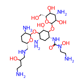 NCCC(O)CNC[C@@H]1CC[C@@H](N)[C@@H](OC2[C@@H](N)C[C@@H](NC(=O)N(O)CCN)[C@H](O[C@H]3O[C@H](CO)[C@@H](O)[C@H](N)[C@H]3O)[C@H]2O)O1